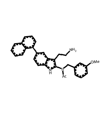 COc1cccc(CN(C(C)=O)c2[nH]c3ccc(-c4cccc5ccccc45)cc3c2CCN)c1